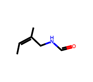 CC=C(C)CNC=O